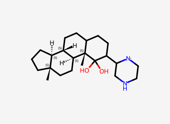 C[C@@]12CCC[C@H]1[C@@H]1CCC3CCC(C4CNCC[N]4)C(O)(O)[C@]3(C)[C@H]1CC2